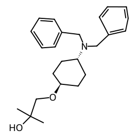 CC(C)(O)CO[C@H]1CC[C@H](N(Cc2ccccc2)Cc2ccccc2)CC1